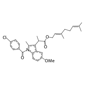 COc1ccc2c(c1)c(C(C)C(=O)OC/C=C(\C)CCC=C(C)C)c(C)n2C(=O)c1ccc(Cl)cc1